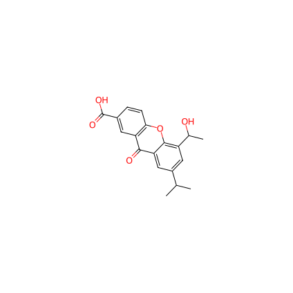 CC(C)c1cc(C(C)O)c2oc3ccc(C(=O)O)cc3c(=O)c2c1